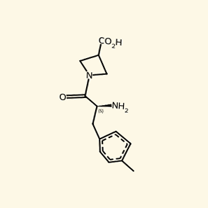 Cc1ccc(C[C@H](N)C(=O)N2CC(C(=O)O)C2)cc1